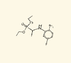 CCOP(=O)(OCC)C(C)Nc1cc(F)ccc1N